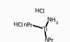 CC[CH2][Ti]([NH2])[CH2]CC.Cl.Cl